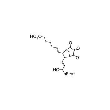 CCCCCC(O)/C=C/C1C2CC(C(=O)C(=O)C2=O)C1C=CCCCCC(=O)O